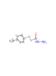 NNC(=O)CSc1ccc([N+](=O)[O-])cc1